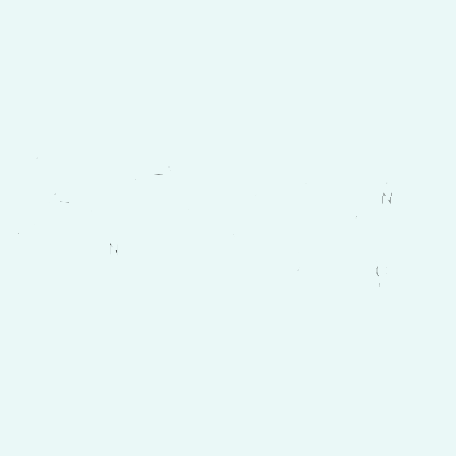 Cc1nc(C(C)C)ccc1-c1ccc(-c2ncco2)cc1